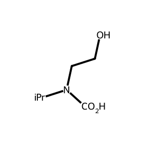 CC(C)N(CCO)C(=O)O